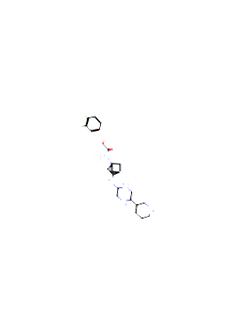 O=C(COc1ccc(F)c(F)c1)NC12CC(C1)C(NC1CNC(C3CCCNC3)CN1)C2